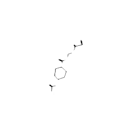 C=CC(=O)OCOC(=O)[C@H]1CC[C@H](OC(C)=O)CC1